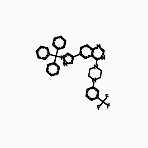 FC(F)(F)c1cccc(N2CCN(c3ncnc4ccc(-c5cnn(C(c6ccccc6)(c6ccccc6)c6ccccc6)c5)cc34)CC2)c1